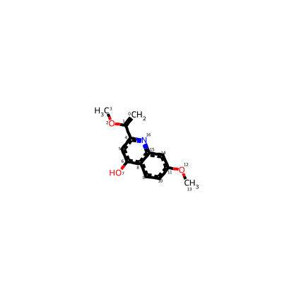 C=C(OC)c1cc(O)c2ccc(OC)cc2n1